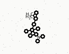 CC1(C)c2ccccc2-c2ccc(-c3ccc(-c4cc(-c5ccccc5)c5c6ccccc6c6cc(N(c7ccccc7)c7ccccc7)ccc6c5c4-c4ccccc4)cc3)cc21